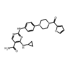 NC(=O)c1cnc(Nc2ccc(N3CCN(C(=O)c4ccco4)CC3)cc2)nc1NC1CC1